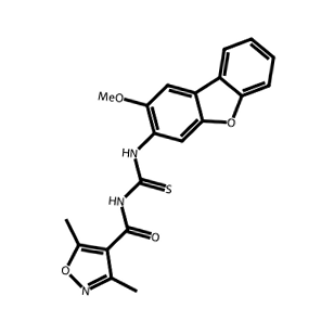 COc1cc2c(cc1NC(=S)NC(=O)c1c(C)noc1C)oc1ccccc12